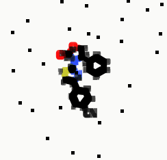 N#Cc1ccc(-c2csc(N3C(=O)OC[C@H]3c3ccccc3)n2)cc1